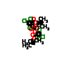 CC1CC(C)C1(C)COC(=O)c1c(Cl)c(Cl)cc(Cl)c1OC(=O)C(=O)Oc1c(Cl)cc(Cl)c(Cl)c1C(=O)OCC1(C)C(C)CC1C